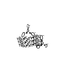 CCC[CH2][Sn+2][CH2]CCC.CCC[CH2][Sn+2][CH2]CCC.CCC[CH2][Sn+2][CH2]CCC.[O-]P([O-])[O-].[O-]P([O-])[O-]